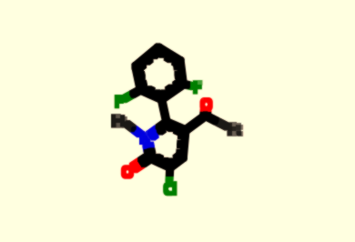 CCC(=O)c1cc(Cl)c(=O)n(CC)c1-c1c(F)cccc1F